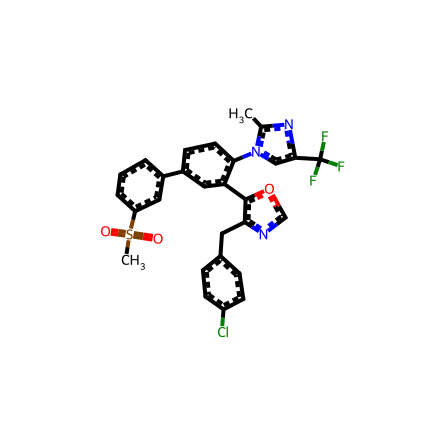 Cc1nc(C(F)(F)F)cn1-c1ccc(-c2cccc(S(C)(=O)=O)c2)cc1-c1ocnc1Cc1ccc(Cl)cc1